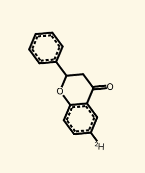 [2H]c1ccc2c(c1)C(=O)CC(c1ccccc1)O2